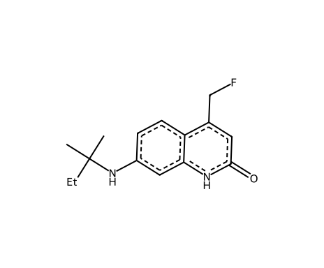 CCC(C)(C)Nc1ccc2c(CF)cc(=O)[nH]c2c1